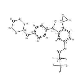 CC(C)(C)[Si](C)(C)OCc1ncc2c(n1)N(c1ccc(OC3CCOCC3)nc1)CC21CC1